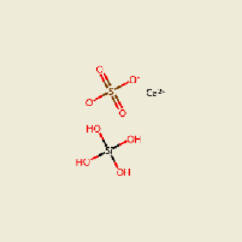 O=S(=O)([O-])[O-].O[Si](O)(O)O.[Ca+2]